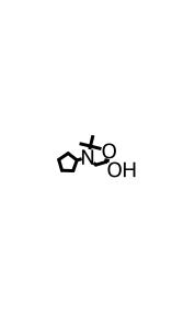 CC(C)(C)N(CC(=O)O)C1CCCC1